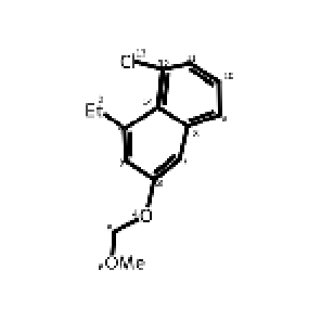 CCc1cc(OCOC)cc2cccc(Cl)c12